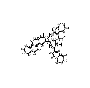 C/C=C(/C1=NC(c2ccc3ccc4c5ccccc5ccc4c3c2)=NC(c2ccc3ccccc3c2)N1)c1c(N)oc2ccccc12